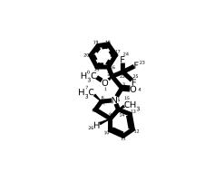 CO[C@@](C(=O)N1[C@H](C)C[C@H]2C=CC=C[C@]21C)(c1ccccc1)C(F)(F)F